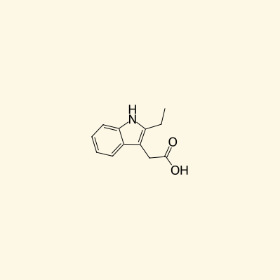 CCc1[nH]c2ccccc2c1CC(=O)O